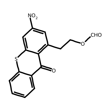 O=COCCc1cc([N+](=O)[O-])cc2sc3ccccc3c(=O)c12